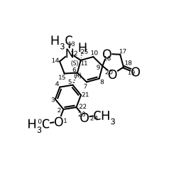 COc1ccc([C@@]23C=CC4(C[C@@H]2N(C)CC3)OCC(=O)O4)cc1OC